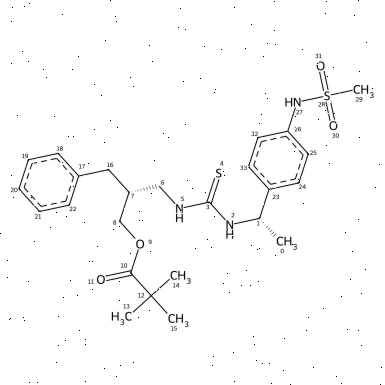 C[C@H](NC(=S)NC[C@H](COC(=O)C(C)(C)C)Cc1ccccc1)c1ccc(NS(C)(=O)=O)cc1